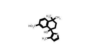 Cc1ccsc1C1(O)CCC(C)(C)c2ccc(C(=O)O)cc21